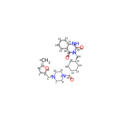 Cc1ccc(CN2CCN(C(=O)[C@H]3CC[C@H](Cn4c(=O)[nH]c5ccccc5c4=O)CC3)CC2)o1